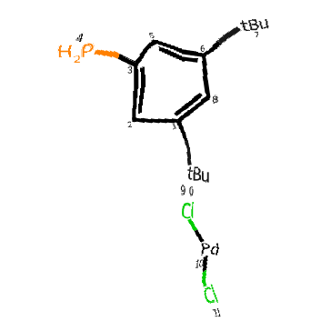 CC(C)(C)c1cc(P)cc(C(C)(C)C)c1.[Cl][Pd][Cl]